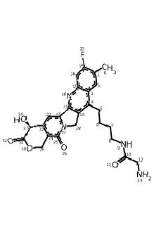 Cc1cc2c(CCCCNC(=O)CN)c3c(nc2cc1F)-c1cc2c(c(=O)n1C3)COC(=O)[C@H]2O